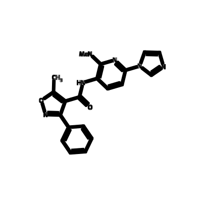 CNc1nc(-n2ccnc2)ccc1NC(=O)c1c(-c2ccccc2)noc1C